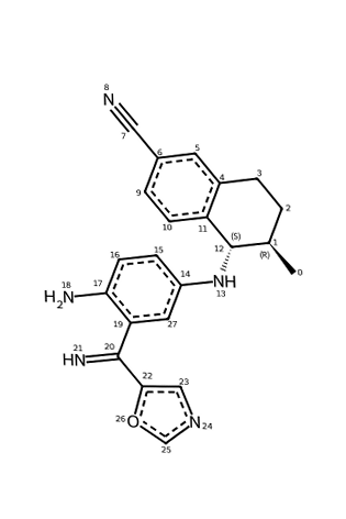 C[C@@H]1CCc2cc(C#N)ccc2[C@H]1Nc1ccc(N)c(C(=N)c2cnco2)c1